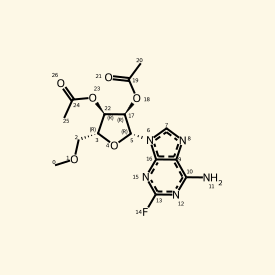 COC[C@H]1O[C@@H](n2cnc3c(N)nc(F)nc32)[C@H](OC(C)=O)[C@@H]1OC(C)=O